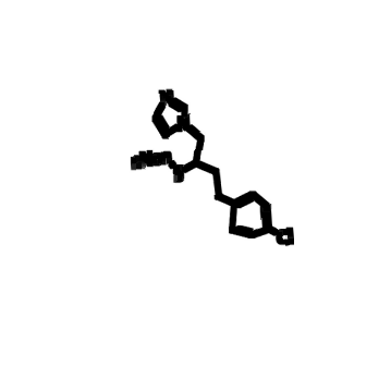 CCCCCCCCCSC(CCc1ccc(Cl)cc1)Cn1ccnc1